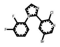 Fc1cccc(-n2ccnc2-c2cc(Br)cnc2Cl)c1F